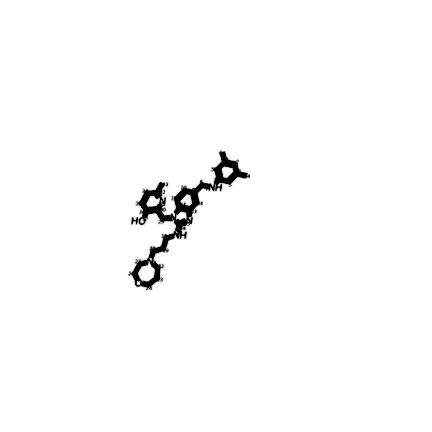 Cc1cc(C)cc(NCc2ccc3c(c2)nc(NCCCN2CCCOCC2)n3Cc2nc(C)ccc2O)c1